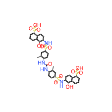 Cc1cc(S(=O)(=O)Nc2ccc3c(S(=O)(=O)O)cccc3c2O)ccc1NC(=O)Nc1ccc(S(=O)(=O)Nc2ccc3c(S(=O)(=O)O)cccc3c2O)cc1C